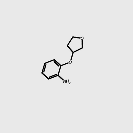 Nc1ccccc1OC1CCOC1